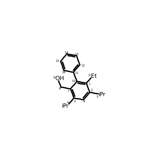 CCc1c(C(C)C)cc(C(C)C)c(CO)c1-c1ccccc1